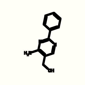 Nc1nc(-c2ccccc2)ncc1CO